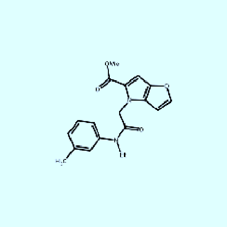 CCN(C(=O)Cn1c(C(=O)OC)cc2occc21)c1cccc(C)c1